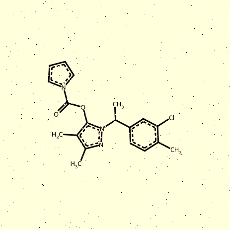 Cc1ccc(C(C)n2nc(C)c(C)c2OC(=O)n2cccc2)cc1Cl